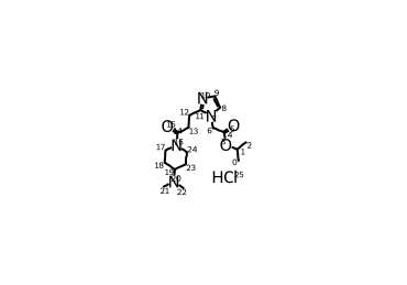 CC(C)OC(=O)Cn1ccnc1CCC(=O)N1CCC(N(C)C)CC1.Cl